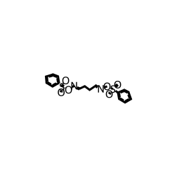 O=S(=O)(ON=CCCC=NOS(=O)(=O)c1ccccc1)c1ccccc1